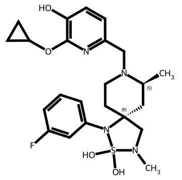 C[C@H]1C[C@]2(CCN1Cc1ccc(O)c(OC3CC3)n1)CN(C)S(O)(O)N2c1cccc(F)c1